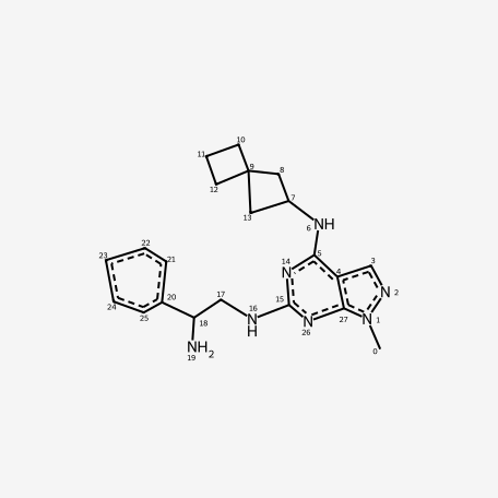 Cn1ncc2c(NC3CC4(CCC4)C3)nc(NCC(N)c3ccccc3)nc21